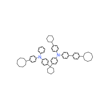 c1ccc(N(c2ccc(C3CCCCCCC3)cc2)c2ccc(C3(c4ccc(N(c5ccc(-c6ccc(C7CCCCCCC7)cc6)cc5)c5ccc(C6CCCCC6)cc5)cc4)CCCCC3)cc2)cc1